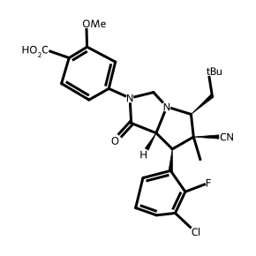 COc1cc(N2CN3[C@@H](CC(C)(C)C)[C@@](C)(C#N)[C@@H](c4cccc(Cl)c4F)[C@@H]3C2=O)ccc1C(=O)O